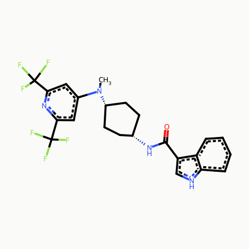 CN(c1cc(C(F)(F)F)nc(C(F)(F)F)c1)[C@H]1CC[C@@H](NC(=O)c2c[nH]c3ccccc23)CC1